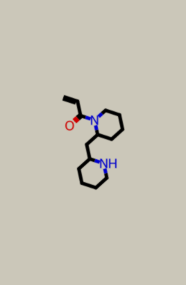 C=CC(=O)N1CCCCC1CC1CCCCN1